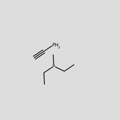 C#CP.CCP(C)CC